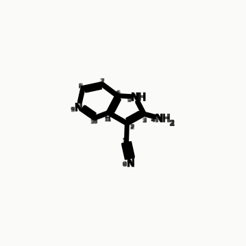 N#Cc1c(N)[nH]c2ccncc12